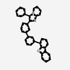 c1ccc(-c2c(-c3cccc(-c4cccc(-c5cccc6c5oc5ccccc56)c4)c3)nc3ccccn23)cc1